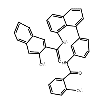 O=C(Nc1cccc(-c2cccc3cccc(NC(=O)c4cc5ccccc5cc4O)c23)c1)c1ccccc1O